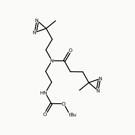 CC1(CCC(=O)N(CCNC(=O)OC(C)(C)C)CCC2(C)N=N2)N=N1